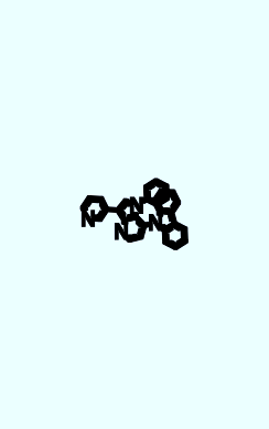 c1ccc(-n2cc(-c3cccnc3)c3nccc(-n4c5ccccc5c5ccccc54)c32)cc1